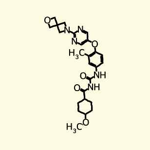 COC1CCC(C(=O)NC(=O)Nc2ccc(Oc3cnc(N4CC5(COC5)C4)nc3)c(C)c2)CC1